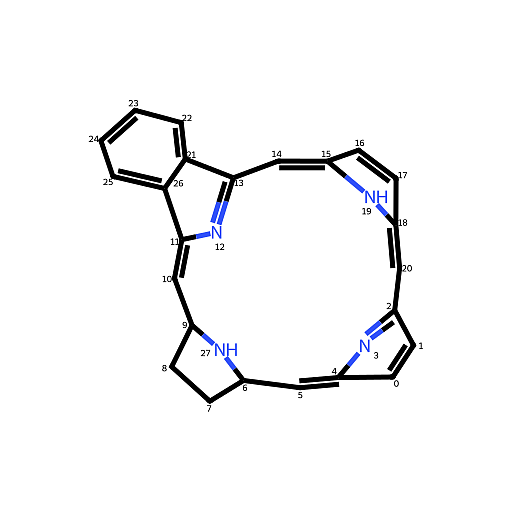 C1=CC2=NC1=CC1CCC(C=C3N=C(C=c4ccc([nH]4)=C2)c2ccccc23)N1